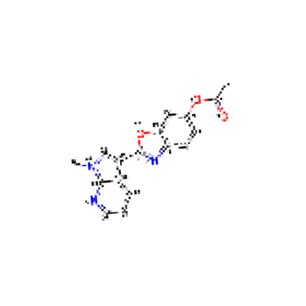 CC(=O)Oc1ccc2nc(-c3cn(C)c4ncccc34)oc2c1